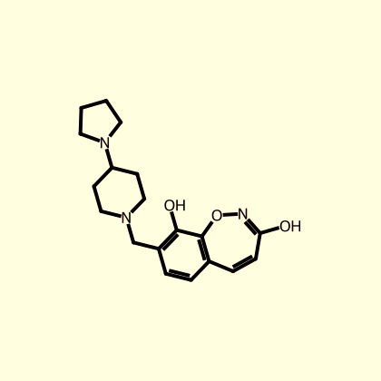 OC1=NOc2c(ccc(CN3CCC(N4CCCC4)CC3)c2O)C=C1